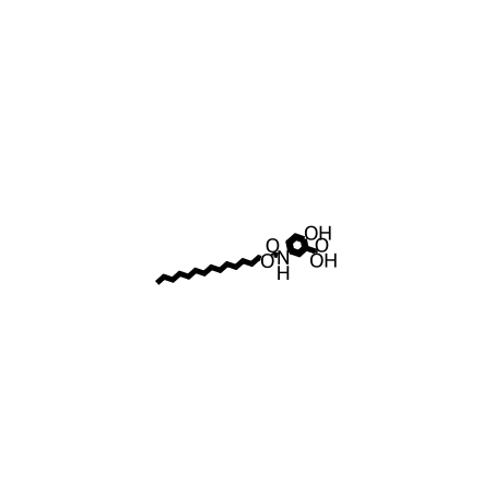 CCCCCCCCCCCCCCOC(=O)Nc1ccc(O)c(C(=O)O)c1